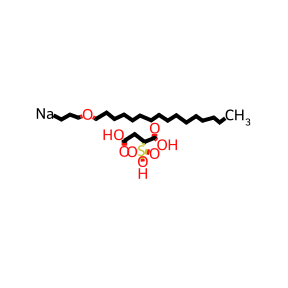 CCCCCCCCCCCCCCCCOCC[CH2][Na].O=C(O)CC(C(=O)O)S(=O)(=O)O